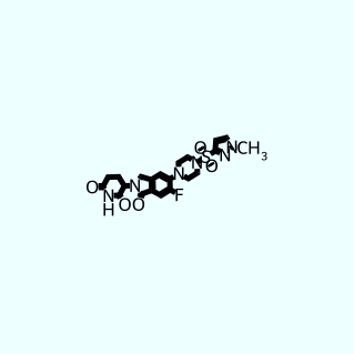 Cn1ccc(S(=O)(=O)N2CCN(c3cc4c(cc3F)C(=O)N(C3CCC(=O)NC3=O)C4)CC2)n1